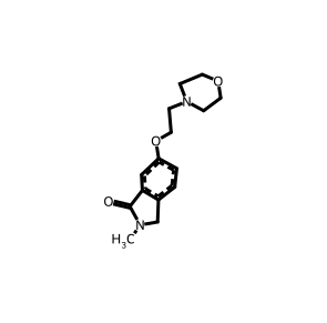 CN1Cc2ccc(OCCN3CCOCC3)cc2C1=O